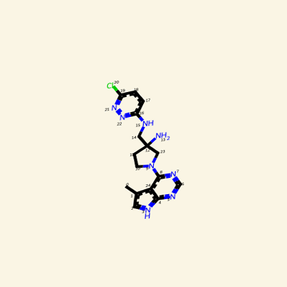 Cc1c[nH]c2ncnc(N3CCC(N)(CNc4ccc(Cl)nn4)C3)c12